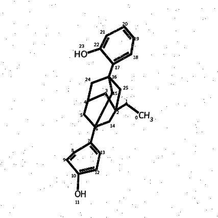 CCC12CC3CC(c4ccc(O)cc4)(C1)CC(c1ccccc1O)(C3)C2